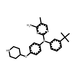 Cc1cnc(N(c2ccc(OC3CCNCC3)cc2)c2cccc(C(C)(C)C)c2)nc1N